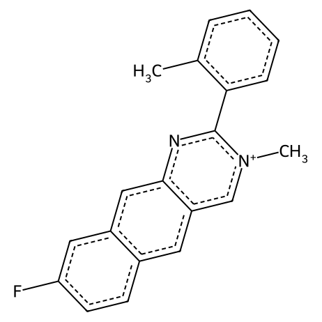 Cc1ccccc1-c1nc2cc3cc(F)ccc3cc2c[n+]1C